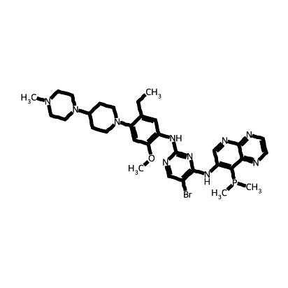 CCc1cc(Nc2ncc(Br)c(Nc3cnc4nccnc4c3P(C)C)n2)c(OC)cc1N1CCC(N2CCN(C)CC2)CC1